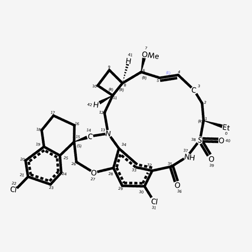 CC[C@@H]1CC/C=C/[C@H](OC)[C@@H]2CC[C@H]2CN2C[C@@]3(CCCc4cc(Cl)ccc43)COc3cc(Cl)c(cc32)C(=O)NS1(=O)=O